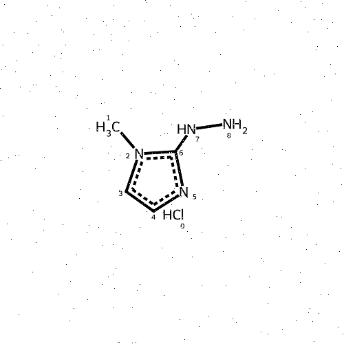 Cl.Cn1ccnc1NN